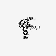 CC(=O)O.CC(C)(C)OC[C@@]1(C(=O)[C@@H](N)Cc2ccc(OC(C)(C)C)cc2)NCCN(CC(=O)OC(C)(C)C)C1=O